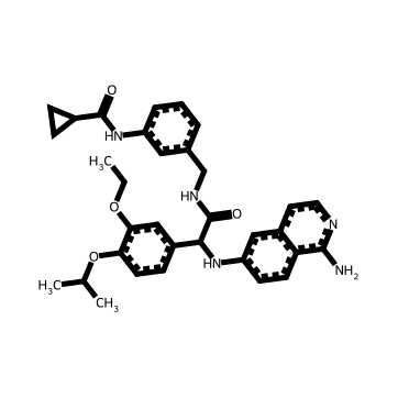 CCOc1cc(C(Nc2ccc3c(N)nccc3c2)C(=O)NCc2cccc(NC(=O)C3CC3)c2)ccc1OC(C)C